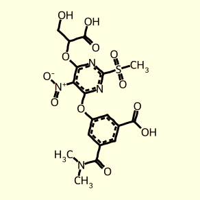 CN(C)C(=O)c1cc(Oc2nc(S(C)(=O)=O)nc(OC(CO)C(=O)O)c2[N+](=O)[O-])cc(C(=O)O)c1